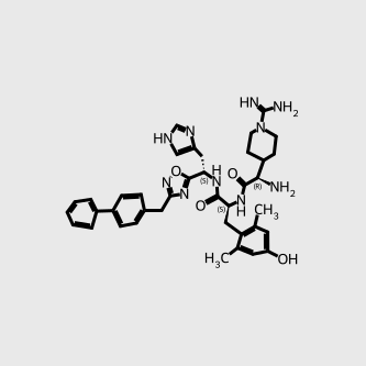 Cc1cc(O)cc(C)c1C[C@H](NC(=O)[C@H](N)C1CCN(C(=N)N)CC1)C(=O)N[C@@H](Cc1c[nH]cn1)c1nc(Cc2ccc(-c3ccccc3)cc2)no1